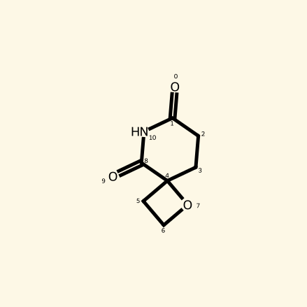 O=C1CCC2(CCO2)C(=O)N1